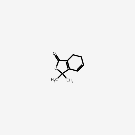 CC1(C)OC(=O)C2=C1C=CCC2